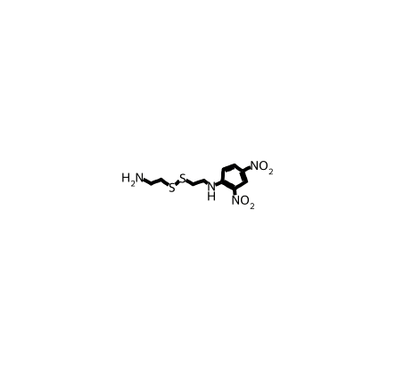 NCCSSCCNc1ccc([N+](=O)[O-])cc1[N+](=O)[O-]